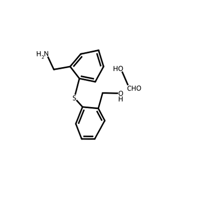 NCc1ccccc1Sc1ccccc1CO.O=CO